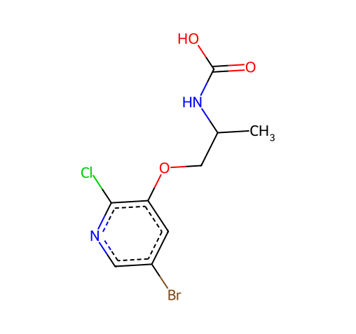 CC(COc1cc(Br)cnc1Cl)NC(=O)O